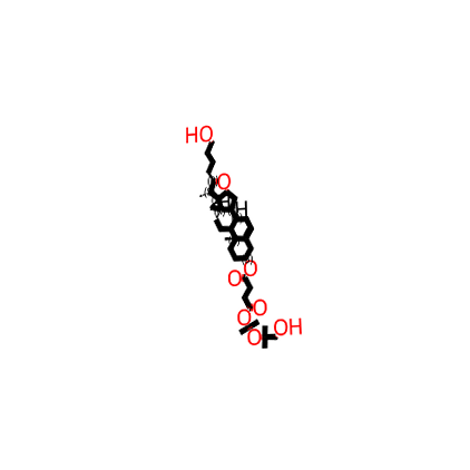 C[C@@H]1[C@@H](CCCCO)OC2C[C@@H]3[C@@H]4CC=C5C[C@@H](OC(=O)CCC(=O)OC(C)(C)OC(C)(C)CO)CC[C@]5(C)C4CC[C@@]34C[C@]214